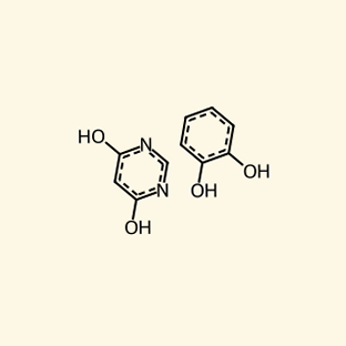 Oc1cc(O)ncn1.Oc1ccccc1O